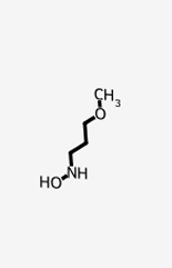 COCCCNO